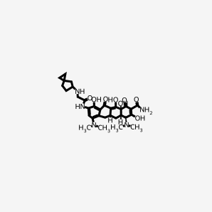 CN(C)c1cc(NC(=O)CNC2CCC3(CC3)C2)c(O)c2c1C[C@H]1C[C@H]3[C@H](N(C)C)C(O)=C(C(N)=O)C(=O)[C@@]3(O)C(O)=C1C2=O